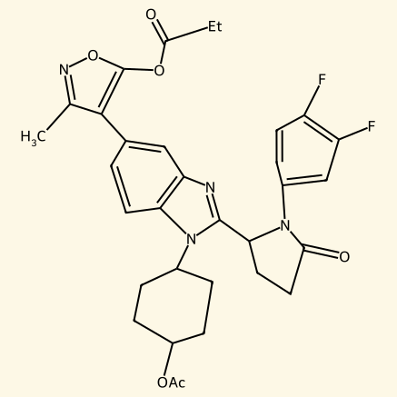 CCC(=O)Oc1onc(C)c1-c1ccc2c(c1)nc(C1CCC(=O)N1c1ccc(F)c(F)c1)n2C1CCC(OC(C)=O)CC1